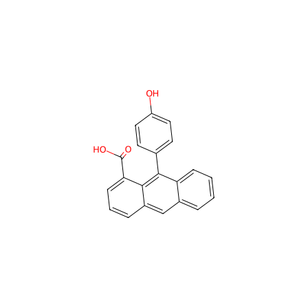 O=C(O)c1cccc2cc3ccccc3c(-c3ccc(O)cc3)c12